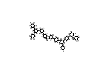 c1ccc(-c2cc(-c3ccc(-c4cccc5c4oc4ccccc45)cc3)cc(-c3ccc(-c4ccc5c(c4)oc4ccc(-c6cccc(-c7cc(-c8ccccc8)nc(-c8ccccc8)c7)c6)cc45)cc3)n2)cc1